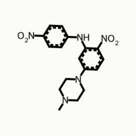 CN1CCN(c2ccc([N+](=O)[O-])c(Nc3ccc([N+](=O)[O-])cc3)c2)CC1